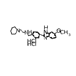 COc1ccc2nc(-c3ccc(CNCCN4CCCCC4)cc3)[nH]c2c1.Cl.Cl